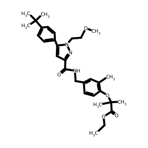 CCOC(=O)C(C)(C)Oc1ccc(CNC(=O)c2cc(-c3ccc(C(C)(C)C)cc3)n(CCOC)n2)cc1C